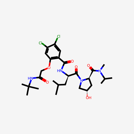 CC(C)C[C@@H](NC(=O)c1cc(Cl)c(Cl)cc1OCC(=O)NC(C)(C)C)C(=O)N1C[C@@H](O)C[C@@H]1C(=O)N(C)C(C)C